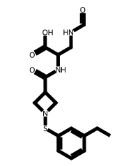 CCc1cccc(SN2CC(C(=O)NC(CNC=O)C(=O)O)C2)c1